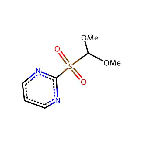 COC(OC)S(=O)(=O)c1ncccn1